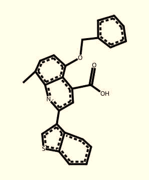 Cc1ccc(OCc2ccccc2)c2c(C(=O)O)cc(-c3csc4ccccc34)nc12